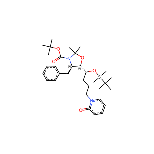 CC(C)(C)OC(=O)N1[C@H](Cc2ccccc2)[C@@H](C(CCCn2ccccc2=O)O[Si](C)(C)C(C)(C)C)OC1(C)C